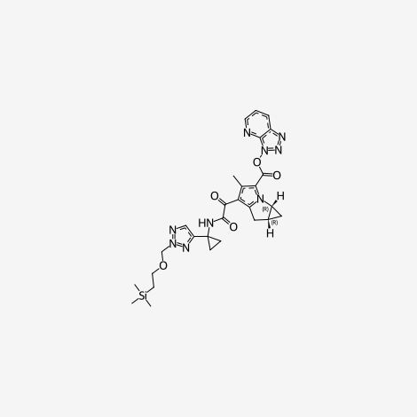 Cc1c(C(=O)C(=O)NC2(c3cnn(COCC[Si](C)(C)C)n3)CC2)c2n(c1C(=O)On1nnc3cccnc31)[C@@H]1C[C@@H]1C2